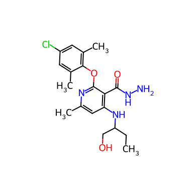 CCC(CO)Nc1cc(C)nc(Oc2c(C)cc(Cl)cc2C)c1C(=O)NN